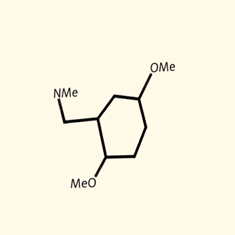 CNCC1CC(OC)CCC1OC